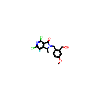 COc1ccc(CN2C(=O)c3c(Cl)nc(Cl)c(F)c3C2C)c(CO)c1